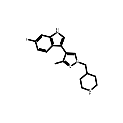 Cc1nn(CC2CCNCC2)cc1-c1c[nH]c2cc(F)ccc12